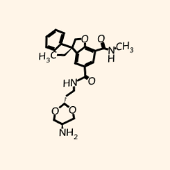 CC[C@@]1(c2ccccc2)COc2c(C(=O)NC)cc(C(=O)NCC[C@H]3OC[C@H](N)CO3)cc21